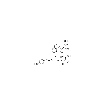 OC[C@]1(O)CO[C@@H](OC[C@H]2O[C@@H](O[C@H](CCCCc3ccc(O)cc3)CCc3ccc(O)cc3)[C@H](O)[C@@H](O)[C@@H]2O)[C@H]1O